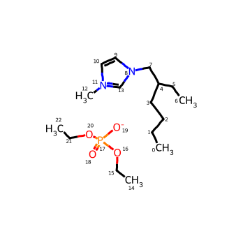 CCCCC(CC)Cn1cc[n+](C)c1.CCOP(=O)([O-])OCC